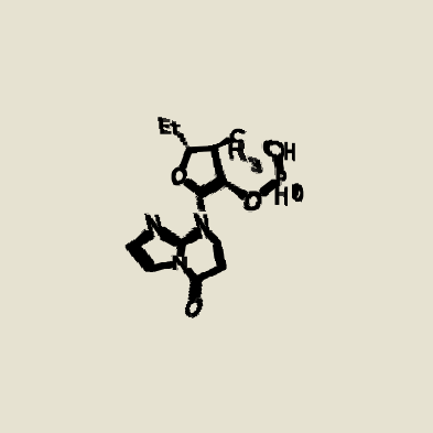 CC[C@H]1O[C@@H](n2ccc(=O)n3ccnc23)[C@H](O[PH](=O)O)[C@@H]1C